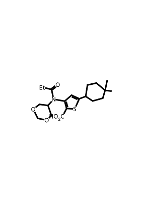 CCC(=O)N(c1cc(C2CCC(C)(C)CC2)sc1C(=O)O)C1COCOC1